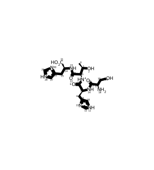 C[C@@H](O)[C@H](NC(=O)[C@H](Cc1c[nH]cn1)NC(=O)[C@@H](N)CO)C(=O)N[C@@H](Cc1c[nH]cn1)C(=O)O